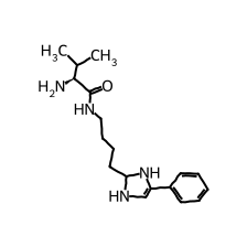 CC(C)[C@H](N)C(=O)NCCCCC1NC=C(c2ccccc2)N1